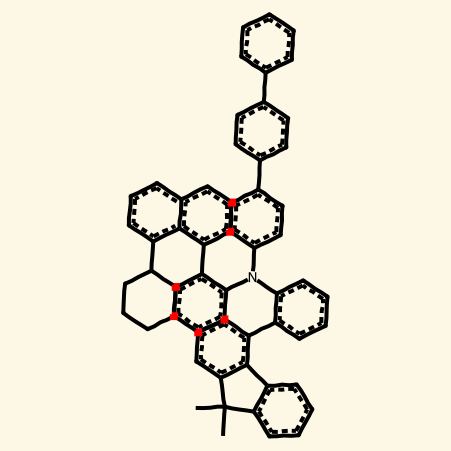 CC1(C)c2ccccc2-c2c(-c3ccccc3N(c3ccc(-c4ccc(-c5ccccc5)cc4)cc3)c3ccccc3-c3cccc4cccc(C5CCCCC5)c34)cccc21